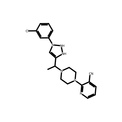 CC(C1=CN(c2cccc(Cl)c2)NN1)N1CCN(c2ncccc2C#N)CC1